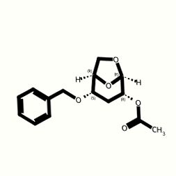 CC(=O)O[C@@H]1C[C@H](OCc2ccccc2)[C@H]2CO[C@@H]1O2